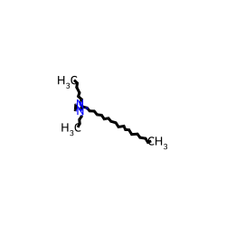 CCCCCCCCCCCCCCCCCCCc1n(CCCCCC)cc[n+]1CCCC